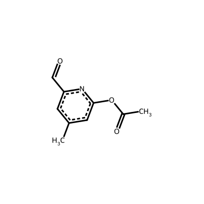 CC(=O)Oc1cc(C)cc(C=O)n1